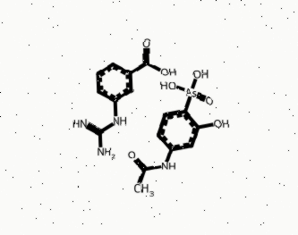 CC(=O)Nc1ccc([As](=O)(O)O)c(O)c1.N=C(N)Nc1cccc(C(=O)O)c1